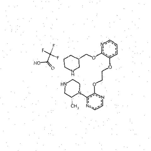 C[C@@H]1CNCCN1c1nccnc1OCCOc1cccnc1OCC1CCCNC1.O=C(O)C(F)(F)F